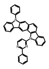 c1ccc(-c2nccc(-n3c4ccccc4c4ccc5cc6c(cc5c43)c3ccccc3n6-c3ccccc3)n2)cc1